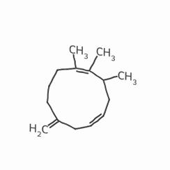 C=C1CC=CCC(C)C(C)=C(C)CCC1